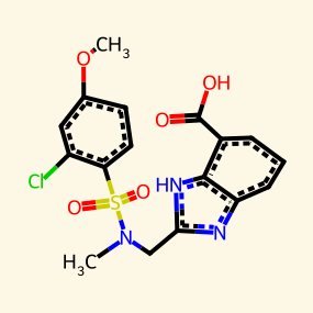 COc1ccc(S(=O)(=O)N(C)Cc2nc3cccc(C(=O)O)c3[nH]2)c(Cl)c1